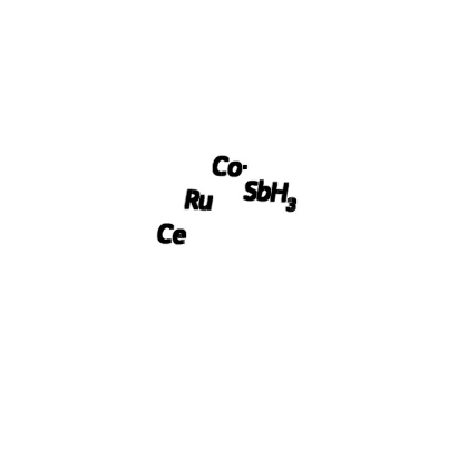 [Ce].[Co].[Ru].[SbH3]